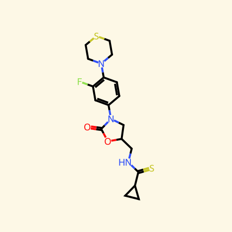 O=C1OC(CNC(=S)C2CC2)CN1c1ccc(N2CCSCC2)c(F)c1